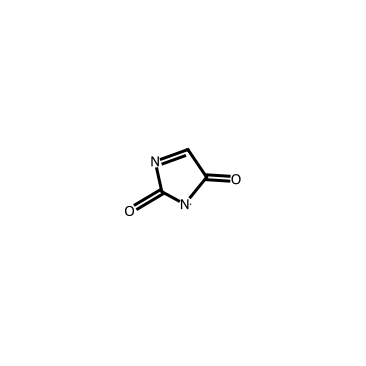 O=C1C=NC(=O)[N]1